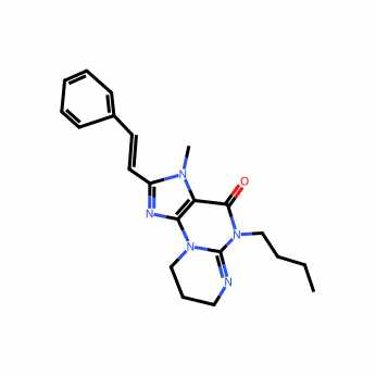 CCCCN1C(=O)c2c(nc(/C=C/c3ccccc3)n2C)N2CCCN=C12